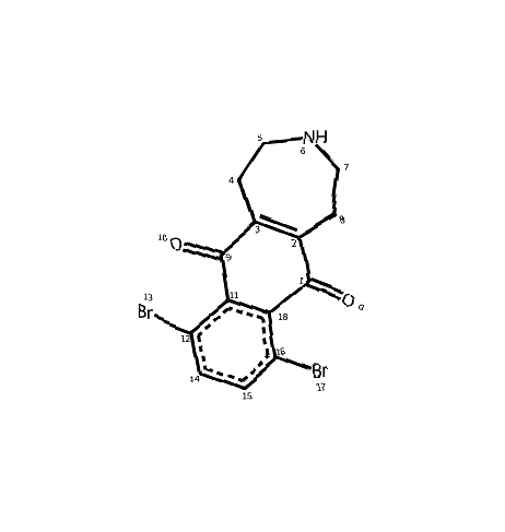 O=C1C2=C(CCNCC2)C(=O)c2c(Br)ccc(Br)c21